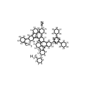 Cc1ccccc1-c1ccc2c(c1)c1ccccc1n2-c1ccc(-c2nc(-c3ccccc3)nc(-c3ccccc3)n2)cc1-c1ccc(-n2c3ccccc3c3cc(-c4ccccc4C)ccc32)c(-c2ccc(C#N)cc2)c1